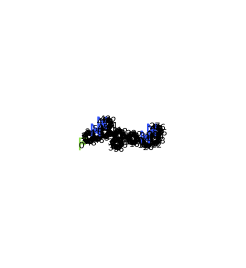 Fc1ccc2nc3c(cc(-c4ccc(-c5ccc(-c6ccc7ccc8cccnc8c7n6)cc5)c5ccccc45)c4cccnc43)cc2c1